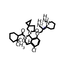 C[C@]1(C(=O)O)CCCCC1C(=O)N1CCc2c(Cl)ccc(OC/C(N)=C3\CCCCN3N)c2C1N1CC2(CC2)CC1=O